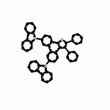 c1ccc(-c2oc3c4ccc(-n5c6ccccc6c6ccccc65)cc4c4cc(-n5c6ccccc6c6ccccc65)ccc4c3c2-c2ccccc2)cc1